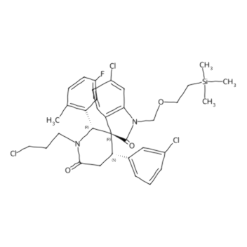 Cc1ccc(F)cc1[C@H]1N(CCCCl)C(=O)C[C@@H](c2cccc(Cl)c2)[C@]12C(=O)N(COCC[Si](C)(C)C)c1cc(Cl)ccc12